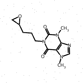 Cn1cnc2c1c(=O)n(CCCC1CO1)c(=O)n2C